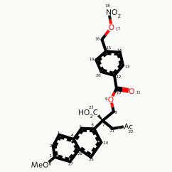 COc1ccc2cc([C@](COC(=O)c3ccc(CO[N+](=O)[O-])cc3)(CC(C)=O)C(=O)O)ccc2c1